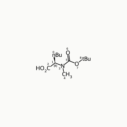 CCCC[C@H](C(=O)O)N(C)C(=O)OC(C)(C)C